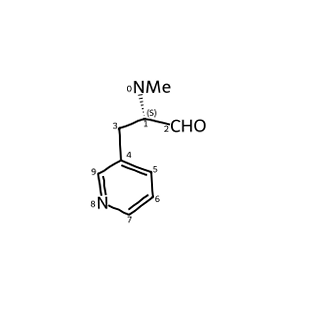 CN[C@H](C=O)Cc1cccnc1